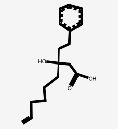 C=CCCCCC(O)(CCc1ccccc1)CC(=O)O